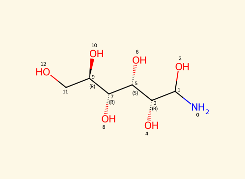 NC(O)[C@H](O)[C@@H](O)[C@H](O)[C@H](O)CO